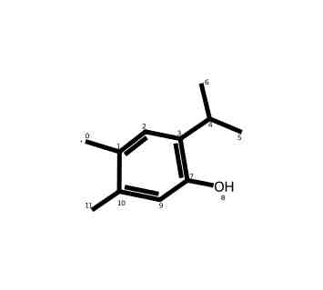 [CH2]c1cc(C(C)C)c(O)cc1C